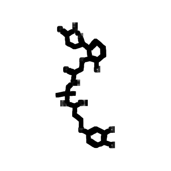 CC(C)(CNC(=O)COc1c(Cl)cccc1C1=NNC(=O)CC1)NC(O)CCOc1ccc(Cl)c(Cl)c1